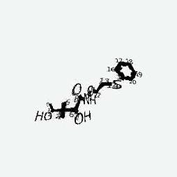 CC(O)C(C)(C)C(O)C(=O)NOCCSc1ccccc1